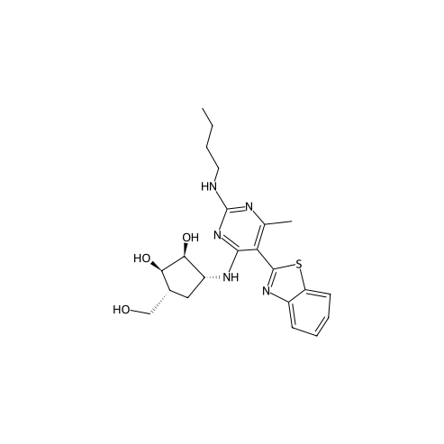 CCCCNc1nc(C)c(-c2nc3ccccc3s2)c(N[C@@H]2C[C@H](CO)[C@@H](O)[C@H]2O)n1